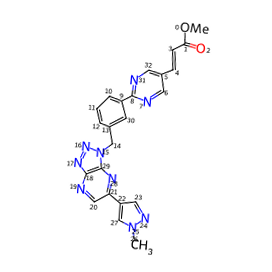 COC(=O)/C=C/c1cnc(-c2cccc(Cn3nnc4ncc(-c5cnn(C)c5)nc43)c2)nc1